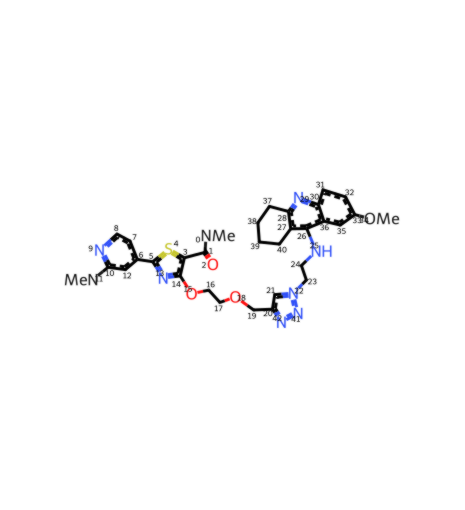 CNC(=O)c1sc(-c2ccnc(NC)c2)nc1OCCOCc1cn(CCNc2c3c(nc4ccc(OC)cc24)CCCC3)nn1